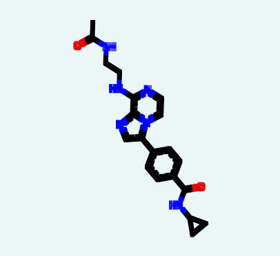 CC(=O)NCCNc1nccn2c(-c3ccc(C(=O)NC4CC4)cc3)cnc12